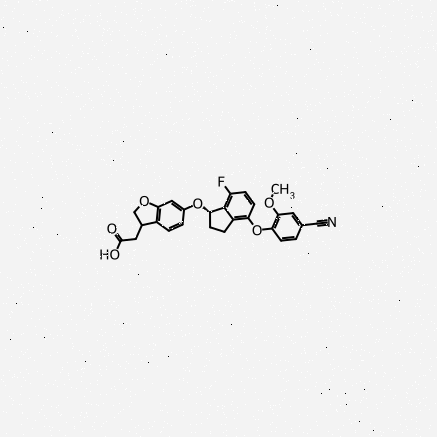 COc1cc(C#N)ccc1Oc1ccc(F)c2c1CC[C@H]2Oc1ccc2c(c1)OCC2CC(=O)O